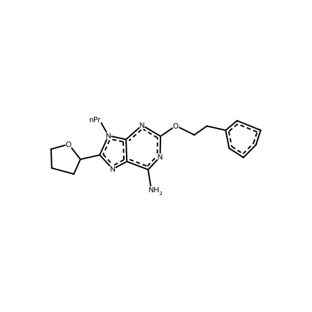 CCCn1c(C2CCCO2)nc2c(N)nc(OCCc3ccccc3)nc21